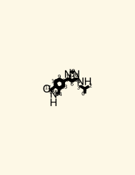 CC(C)CNc1cc(-c2ccc3c(c2)CNC3=O)ncn1